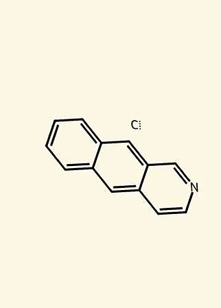 [C].c1ccc2cc3cnccc3cc2c1